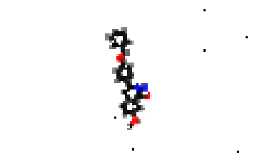 COc1ccc2cc(-c3ccc(OCc4ccccc4)cc3)[nH]c(=O)c2c1